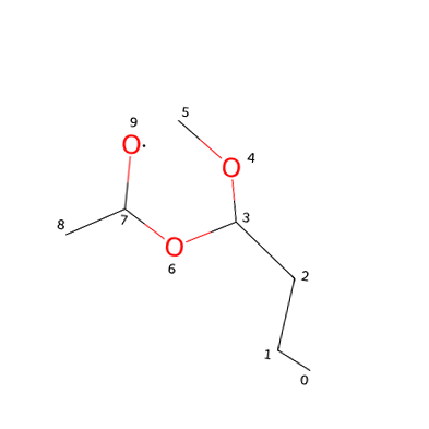 CCCC(OC)OC(C)[O]